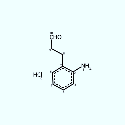 Cl.Nc1ccccc1CCC=O